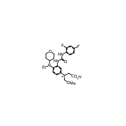 CCN(c1ccc([C@H](COC)CC(=O)O)cc1NC(=O)Nc1ccc(F)cc1F)C1CCOCC1